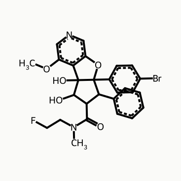 COc1cncc2c1C1(O)C(O)C(C(=O)N(C)CCF)C(c3ccccc3)C1(c1ccc(Br)cc1)O2